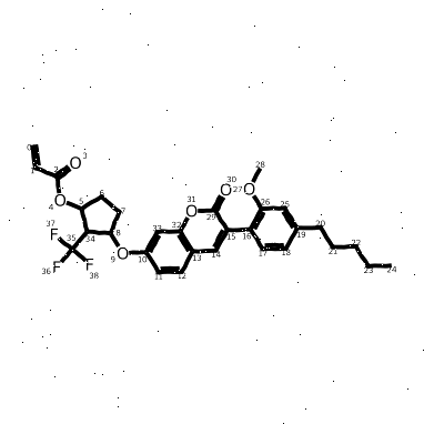 C=CC(=O)OC1CCC(Oc2ccc3cc(-c4ccc(CCCCC)cc4OC)c(=O)oc3c2)C1C(F)(F)F